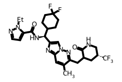 CCn1nccc1C(=O)N[C@H](c1cn2nc(CC3C[C@@H](C(F)(F)F)CNC3=O)c(C)cc2n1)C1CCC(F)(F)CC1